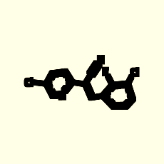 N#CC(=Cc1cccc(Cl)c1F)c1ccc(Cl)cn1